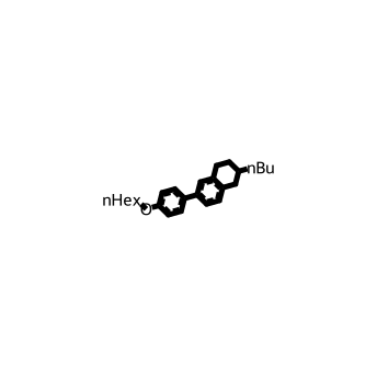 CCCCCCOc1ccc(-c2ccc3c(c2)CCC(CCCC)C3)cc1